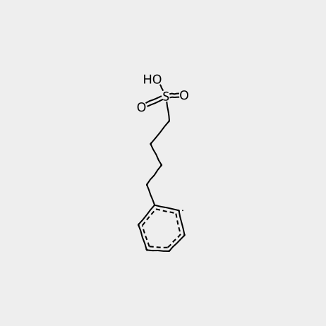 O=S(=O)(O)CCCCc1[c]cccc1